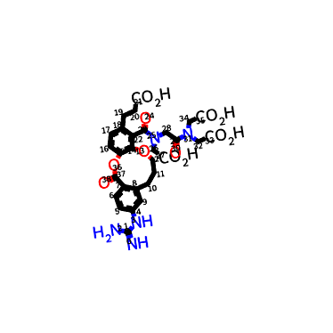 N=C(N)Nc1ccc2c(c1)CCCOc1c(ccc(CCC(=O)O)c1C(=O)N(CC(=O)O)CC(=O)N(CC(=O)O)CC(=O)O)OC2=O